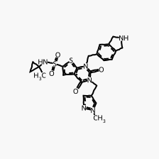 Cn1cc(Cn2c(=O)c3cc(S(=O)(=O)NC4(C)CC4)sc3n(Cc3ccc4c(c3)CNC4)c2=O)cn1